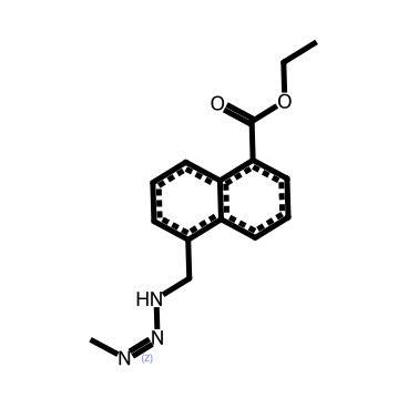 CCOC(=O)c1cccc2c(CN/N=N\C)cccc12